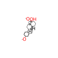 COC[C@]1(O)CCC[C@H]2[C@@H]3CCc4cc(OC)ccc4C3CC[C@@]21C